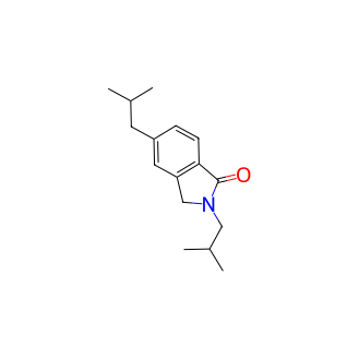 CC(C)Cc1ccc2c(c1)CN(CC(C)C)C2=O